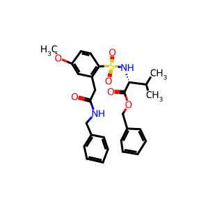 COc1ccc(S(=O)(=O)N[C@@H](C(=O)OCc2ccccc2)C(C)C)c(CC(=O)NCc2ccccc2)c1